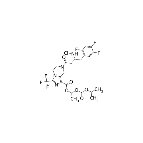 CC(C)OC(=O)OC(C)OC(=O)c1nc(C(F)(F)F)n2c1CN(C(=O)CC(Cc1cc(F)c(F)cc1F)NCl)CC2